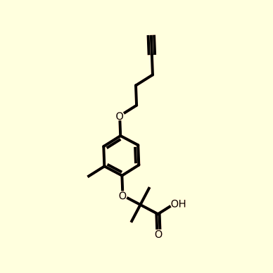 C#CCCCOc1ccc(OC(C)(C)C(=O)O)c(C)c1